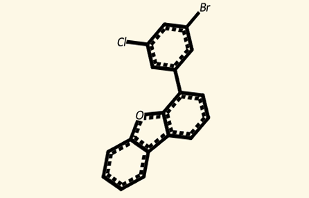 Clc1cc(Br)cc(-c2cccc3c2oc2ccccc23)c1